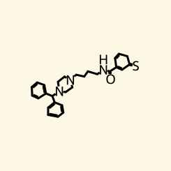 O=C(NCCCCN1CCN(C(c2ccccc2)c2ccccc2)CC1)C1=CC(=S)CC=C1